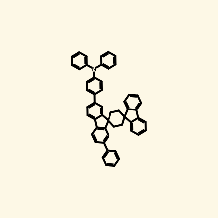 c1ccc(-c2ccc3c(c2)C2(CCC4(CC2)c2ccccc2-c2ccccc24)c2cc(-c4ccc(N(c5ccccc5)c5ccccc5)cc4)ccc2-3)cc1